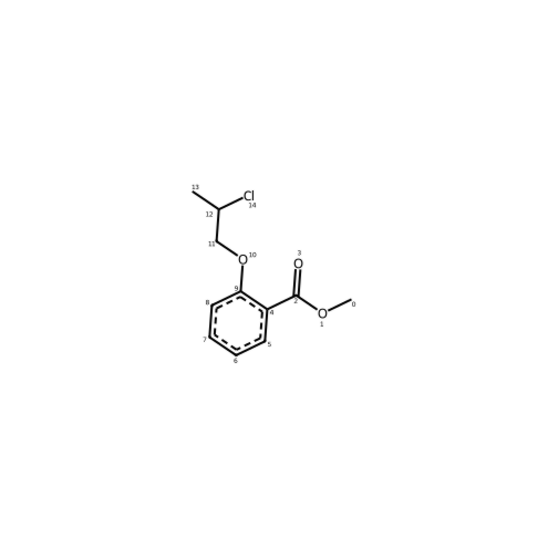 COC(=O)c1ccccc1OCC(C)Cl